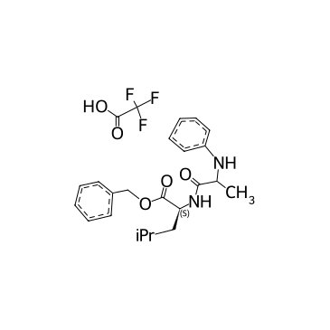 CC(C)C[C@H](NC(=O)C(C)Nc1ccccc1)C(=O)OCc1ccccc1.O=C(O)C(F)(F)F